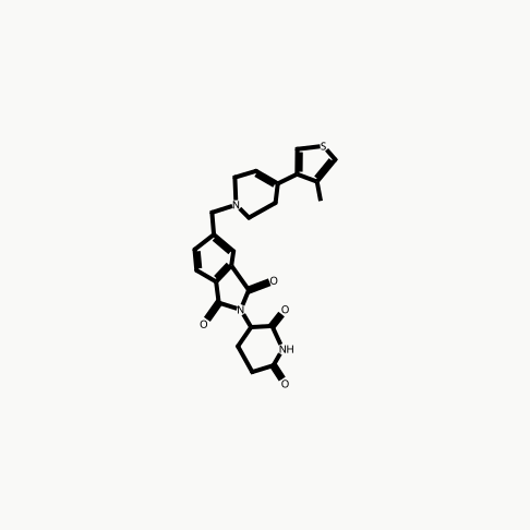 Cc1cscc1C1=CCN(Cc2ccc3c(c2)C(=O)N(C2CCC(=O)NC2=O)C3=O)CC1